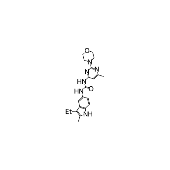 CCc1c(C)[nH]c2ccc(NC(=O)Nc3cc(C)nc(N4CCOCC4)n3)cc12